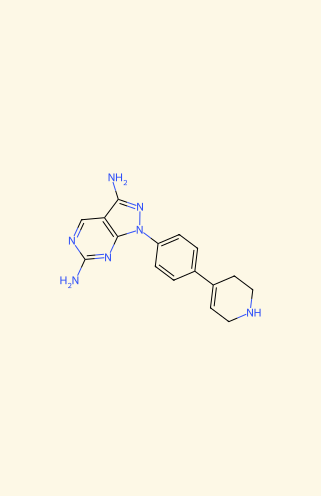 Nc1ncc2c(N)nn(-c3ccc(C4=CCNCC4)cc3)c2n1